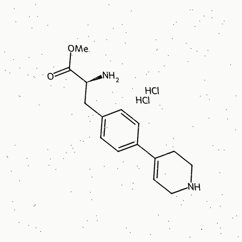 COC(=O)[C@@H](N)Cc1ccc(C2=CCNCC2)cc1.Cl.Cl